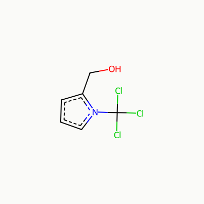 OCc1cccn1C(Cl)(Cl)Cl